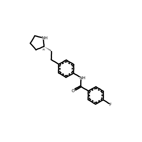 O=C(Nc1ccc(CC[C@@H]2CCCN2)cc1)c1ccc(F)cc1